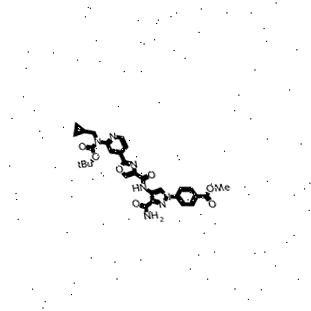 COC(=O)c1ccc(-n2cc(NC(=O)c3coc(-c4ccnc(N(CC5CC5)C(=O)OC(C)(C)C)c4)n3)c(C(N)=O)n2)cc1